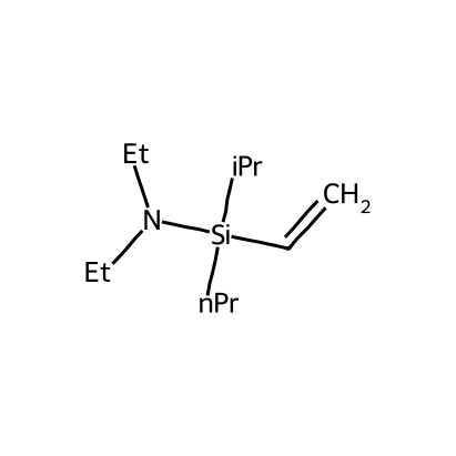 C=C[Si](CCC)(C(C)C)N(CC)CC